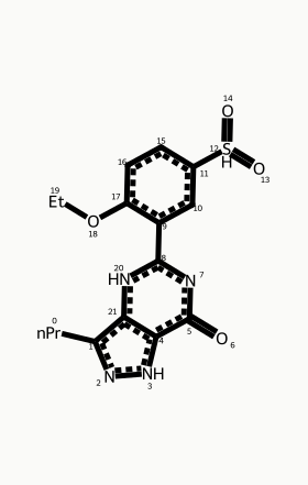 CCCc1n[nH]c2c(=O)nc(-c3cc([SH](=O)=O)ccc3OCC)[nH]c12